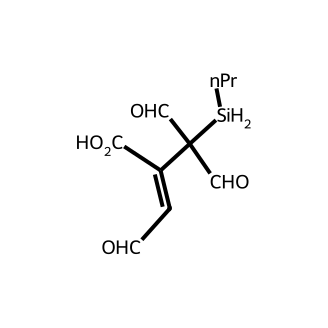 CCC[SiH2]C(C=O)(C=O)C(=CC=O)C(=O)O